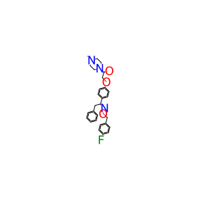 CN1CCN(C(=O)COc2ccc(C(Cc3ccccc3)=NOCc3ccc(F)cc3)cc2)CC1